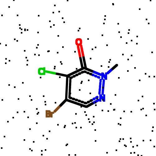 Cn1ncc(Br)c(Cl)c1=O